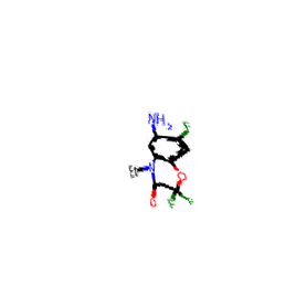 CCN1C(=O)C(F)(F)Oc2cc(F)c(N)cc21